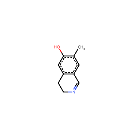 Cc1cc2c(cc1O)CCN=C2